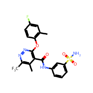 Cc1cc(F)ccc1Oc1nnc(C(F)(F)F)c(C)c1C(=O)Nc1cccc(S(N)(=O)=O)c1